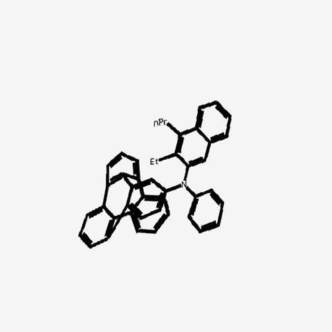 CCCc1c(CC)c(N(c2ccccc2)c2ccc3c(c2)-c2c4cccc2-c2cccc-3c2-c2ccccc2-4)cc2ccccc12